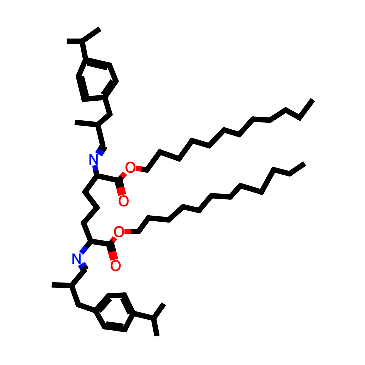 CCCCCCCCCCCCOC(=O)C(CCCC(N=CC(C)Cc1ccc(C(C)C)cc1)C(=O)OCCCCCCCCCCCC)N=CC(C)Cc1ccc(C(C)C)cc1